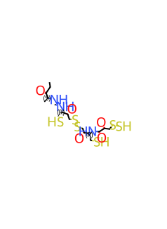 CCC(=O)[C@H](C)NCN[C@@H](CS)C(=O)CSSCC(=O)[C@H](CS)NC(=O)C(=O)CSS